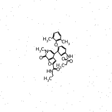 CCNC(=O)c1cc2c(-c3cc(NS(=O)(=O)CC)ccc3Oc3c(C)cccc3C)cn(C)c(=O)c2o1